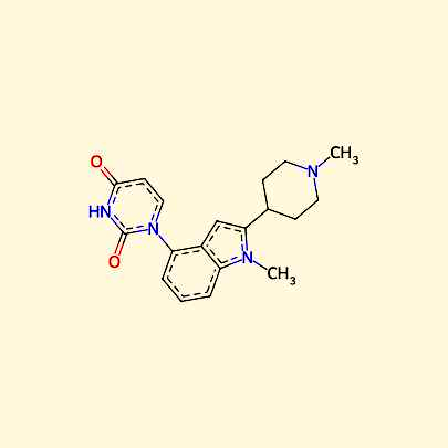 CN1CCC(c2cc3c(-n4ccc(=O)[nH]c4=O)cccc3n2C)CC1